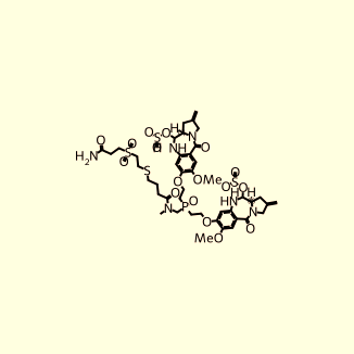 C=C1C[C@@H]2C(O[SH](=O)=O)Nc3cc(OCCP(=O)(CCOc4cc5c(cc4OC)C(=O)N4CC(=C)C[C@H]4C(O[SH](=O)=O)N5)CN(C)C(=O)CCCSCCS(=O)(=O)CCC(N)=O)c(OC)cc3C(=O)N2C1